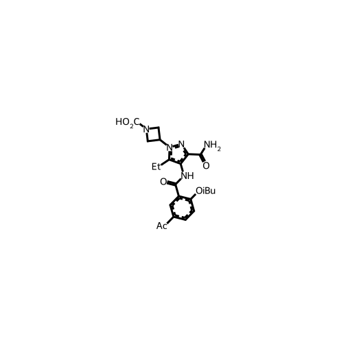 CCc1c(NC(=O)c2cc(C(C)=O)ccc2OCC(C)C)c(C(N)=O)nn1C1CN(C(=O)O)C1